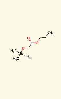 CCCOC(=O)CO[Si](C)(C)C